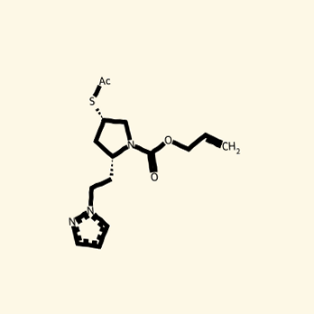 C=CCOC(=O)N1C[C@@H](SC(C)=O)C[C@H]1CCn1cccn1